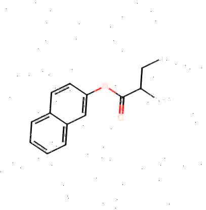 CC(=O)NC(CC(C)C)C(=O)Oc1ccc2ccccc2c1